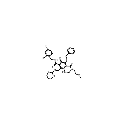 COCCN1CNn2c(COC3CCCCO3)c(C(=O)NCc3ccc(F)cc3F)c(=O)c(OCc3ccccc3)c2C1=O